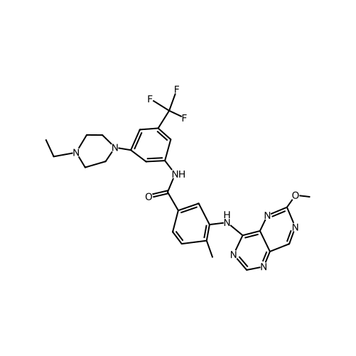 CCN1CCN(c2cc(NC(=O)c3ccc(C)c(Nc4ncnc5cnc(OC)nc45)c3)cc(C(F)(F)F)c2)CC1